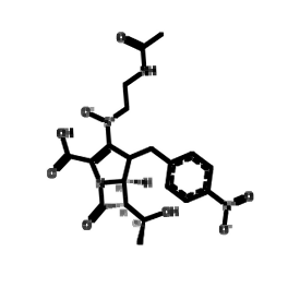 CC(=O)NCC[S+]([O-])C1=C(C(=O)O)N2C(=O)[C@@H]([C@H](C)O)[C@@H]2C1Cc1ccc([N+](=O)[O-])cc1